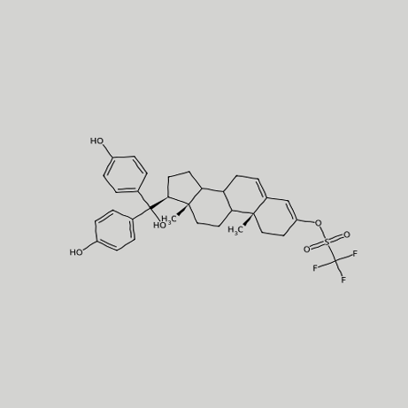 C[C@]12CCC(OS(=O)(=O)C(F)(F)F)=CC1=CCC1C2CC[C@@]2(C)C1CC[C@@H]2C(O)(c1ccc(O)cc1)c1ccc(O)cc1